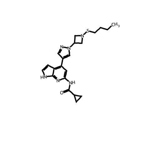 CCCCSN1CC(n2cc(-c3cc(NC(=O)C4CC4)nc4[nH]ccc34)cn2)C1